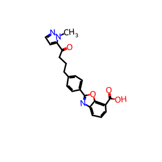 Cn1nccc1C(=O)CCCc1ccc(-c2nc3cccc(C(=O)O)c3o2)cc1